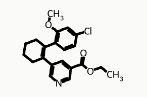 CCOC(=O)c1cncc(C2=C(c3ccc(Cl)cc3OC)CCCC2)c1